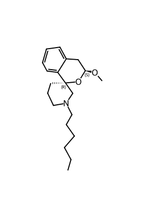 CCCCCCN1CCC[C@@]2(C1)O[C@H](OC)Cc1ccccc12